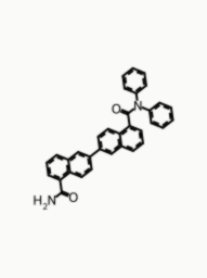 NC(=O)c1cccc2cc(-c3ccc4c(C(=O)N(c5ccccc5)c5ccccc5)cccc4c3)ccc12